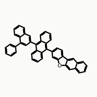 c1ccc(-c2cc(-c3c4ccccc4c(-c4ccc5c(c4)oc4cc6ccccc6cc45)c4ccccc34)cc3ccccc23)cc1